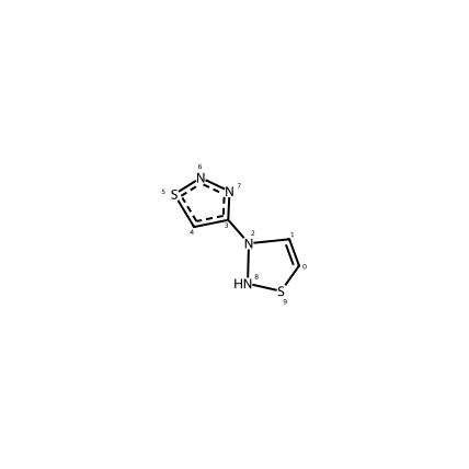 C1=CN(c2csnn2)NS1